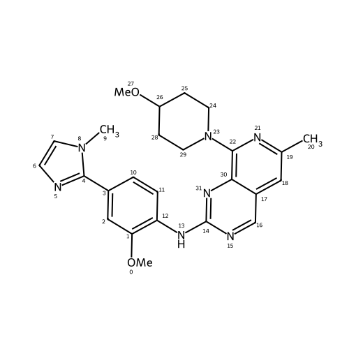 COc1cc(-c2nccn2C)ccc1Nc1ncc2cc(C)nc(N3CCC(OC)CC3)c2n1